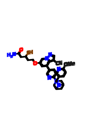 COc1ccc(CN2C3CC2CN(c2ccc(-c4cc(OCCC(S)CC(N)=O)cn5ncc(C#N)c45)cn2)C3)cn1